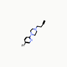 C#CCCN1CCN(c2ccc(C(C)C)cn2)CC1